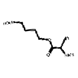 CCCCCCCCCCCCOC(=O)C(NC)C(C)C